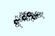 Cc1cccc(COc2cc(C)n(-c3cc(-c4ccnc(C(C)(C)O)n4)ncc3C)c(=O)c2C)n1